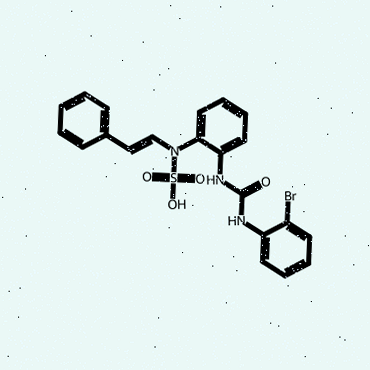 O=C(Nc1ccccc1Br)Nc1ccccc1N(C=Cc1ccccc1)S(=O)(=O)O